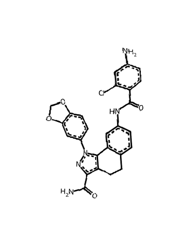 NC(=O)c1nn(-c2ccc3c(c2)OCO3)c2c1CCc1ccc(NC(=O)c3ccc(N)cc3Cl)cc1-2